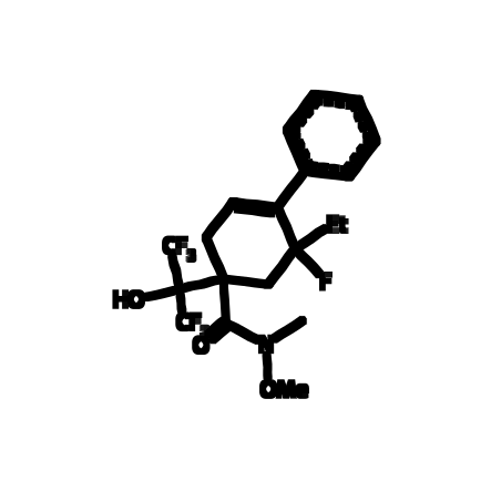 CCC1(F)CC(C(=O)N(C)OC)(C(O)(C(F)(F)F)C(F)(F)F)CC=C1c1ccccc1